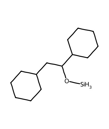 [SiH3]OC(CC1CCCCC1)C1CCCCC1